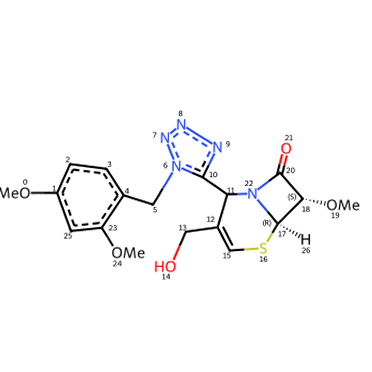 COc1ccc(Cn2nnnc2C2C(CO)=CS[C@@H]3[C@@H](OC)C(=O)N23)c(OC)c1